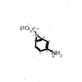 CCOC(=O)N1c2ccc(N)cc21